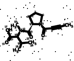 CC#CC(=O)N1CCC[C@H]1C(=O)N(C)C(C(=O)O)C(C)C